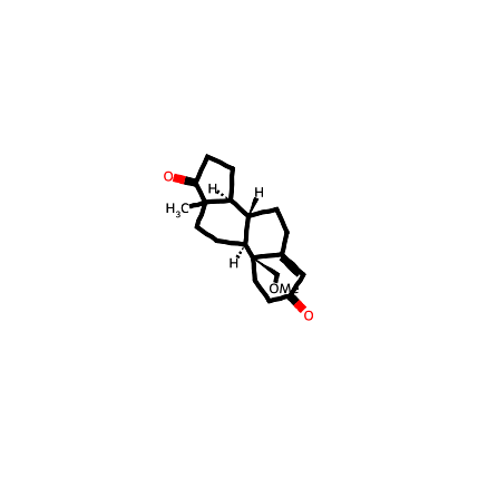 COC[C@]12CCC(=O)C=C1CC[C@H]1[C@@H]3CCC(=O)C3(C)CC[C@@H]12